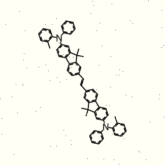 Cc1ccccc1N(c1ccccc1)c1ccc2c(c1)C(C)(C)c1cc(/C=C/c3ccc4c(c3)C(C)(C)c3cc(N(c5ccccc5)c5ccccc5C)ccc3-4)ccc1-2